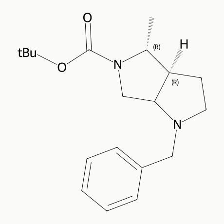 C[C@@H]1[C@H]2CCN(Cc3ccccc3)C2CN1C(=O)OC(C)(C)C